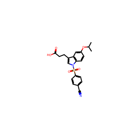 CC(C)Oc1ccc2c(c1)c(CCC(=O)O)cn2S(=O)(=O)c1ccc(C#N)cc1